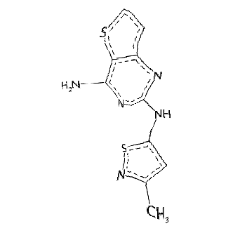 Cc1cc(Nc2nc(N)c3sccc3n2)sn1